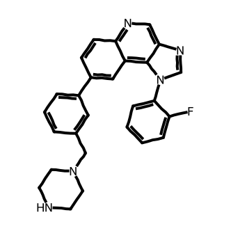 Fc1ccccc1-n1cnc2cnc3ccc(-c4cccc(CN5CCNCC5)c4)cc3c21